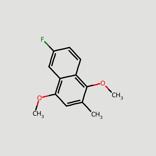 COc1cc(C)c(OC)c2ccc(F)cc12